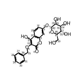 O=c1oc2cc(O[C@H]3O[C@H](CO)[C@@H](O)[C@H](O)[C@@H]3O)ccc2c(O)c1OCc1ccccc1